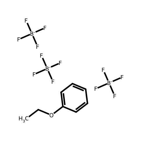 CCOc1ccccc1.F[B-](F)(F)F.F[B-](F)(F)F.F[B-](F)(F)F